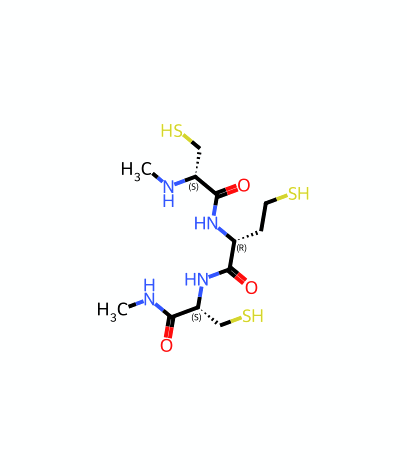 CNC(=O)[C@@H](CS)NC(=O)[C@@H](CCS)NC(=O)[C@@H](CS)NC